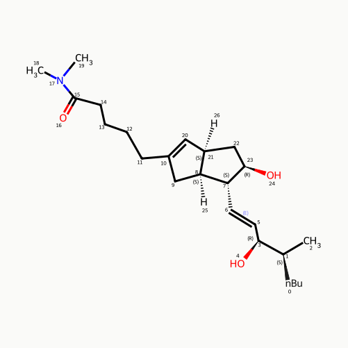 CCCC[C@H](C)[C@@H](O)/C=C/[C@@H]1[C@H]2CC(CCCCC(=O)N(C)C)=C[C@H]2C[C@H]1O